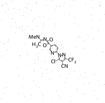 CNC(C)=NS(=O)(=O)c1ccc(-n2nc(C(F)(F)F)c(C#N)c2Cl)nc1